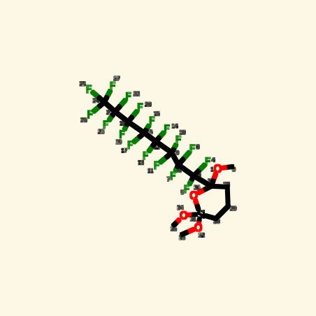 COC1(C(F)(F)C(F)(F)C(F)(F)C(F)(F)C(F)(F)C(F)(F)C(F)(F)C(F)(F)F)CCC[Si](OC)(OC)O1